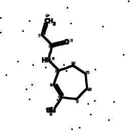 C=CC(=O)NC1C=C(C(C)(C)C)CCCC1